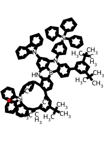 CC(C)(C)c1cc(-c2ccc3c(c2)N(c2ccc([Si](c4ccccc4)(c4ccccc4)c4ccccc4)cc2)c2cc(-n4c5ccccc5c5ccccc54)cc4c2B3c2ccc3c(c2N4)-c2ccc(cc2)[Si](c2ccccc2)(c2ccccc2)c2ccccc2C(C)(C)c2cc-3cc(C(C)(C)C)c2)cc(C(C)(C)C)c1